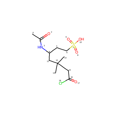 CC(=O)NC(CCS(=O)(=O)O)CC(C)(C)CC(=O)Cl